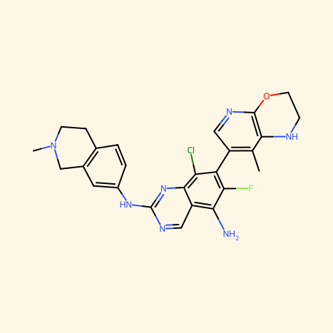 Cc1c(-c2c(F)c(N)c3cnc(Nc4ccc5c(c4)CN(C)CC5)nc3c2Cl)cnc2c1NCCO2